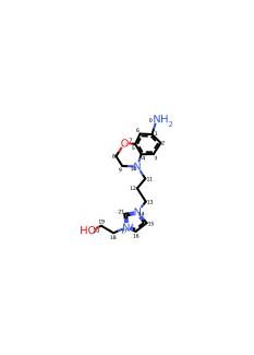 Nc1ccc2c(c1)OCCN2CCCn1cc[n+](CCO)c1